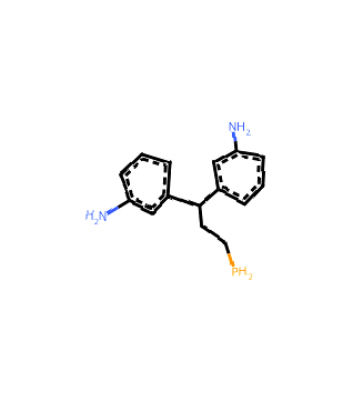 Nc1cccc(C(CCP)c2cccc(N)c2)c1